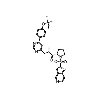 O=C(NCc1cc(-c2ccc(OC(F)(F)F)cc2)ncn1)[C@@H]1CCCN1S(=O)(=O)c1cc2cnccc2o1